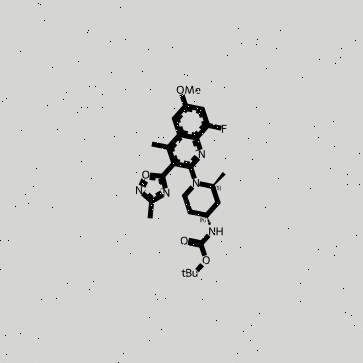 COc1cc(F)c2nc(N3CC[C@@H](NC(=O)OC(C)(C)C)C[C@@H]3C)c(-c3nc(C)no3)c(C)c2c1